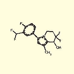 Cc1cc(-c2ccc(F)c(C(F)F)c2)n2c1C(O)C(F)(F)CC2